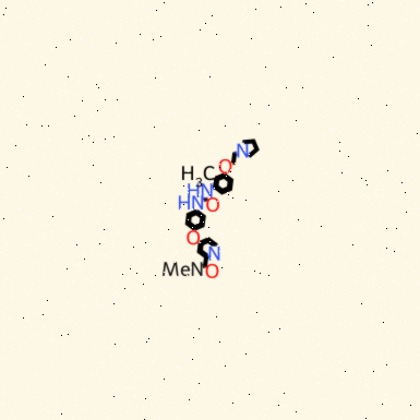 CNC(=O)c1cc(Oc2ccc(NC(=O)Nc3cccc(OCCN4CCCC4)c3C)cc2)ccn1